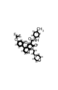 CC1CCC(NC(=O)c2c(O)c3c(-c4ccc(OC(F)F)cc4)ccnc3n(CCN3CCOCC3)c2=O)CC1